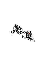 C=CC1(CN(Cc2nc3ccc4cc(-c5ccc(-c6cnc(C7[C@H]8CC[C@H](C8)N7C(=O)[C@@H](NC(=O)OC)C(C)C)[nH]6)cc5)ccc4c3[nH]2)C(O)[C@@H](NC(=O)OC)C(C)C)CC1